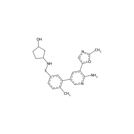 Cc1ncc(-c2cc(-c3cc(SNC4CCC(O)C4)ccc3C)cnc2N)o1